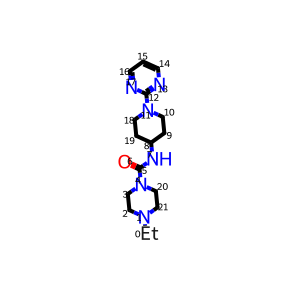 CCN1CCN(C(=O)NC2CCN(c3ncccn3)CC2)CC1